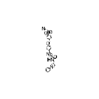 N#CCS(=O)(=O)c1ccc(COc2ccc(-c3cn(C(=O)NCC4CCN(c5ccccc5)C4)cn3)cc2)cc1